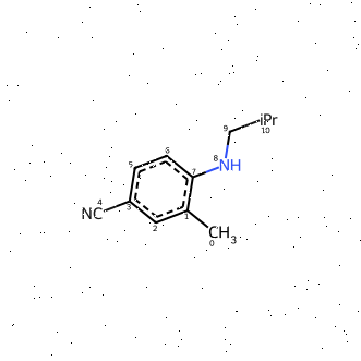 Cc1cc(C#N)ccc1NCC(C)C